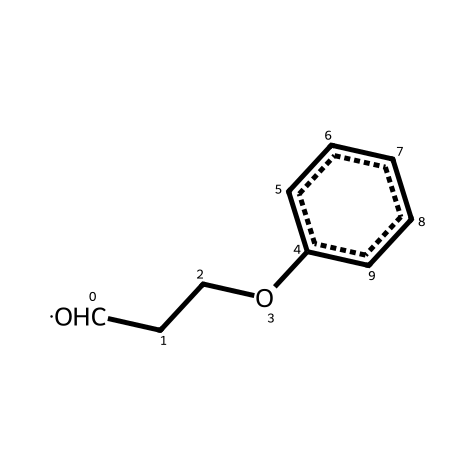 O=[C]CCOc1ccccc1